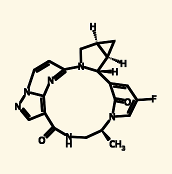 C[C@H]1CNC(=O)c2cnn3ccc(nc23)N2C[C@H]3C[C@H]3[C@@H]2c2cc(F)cn1c2=O